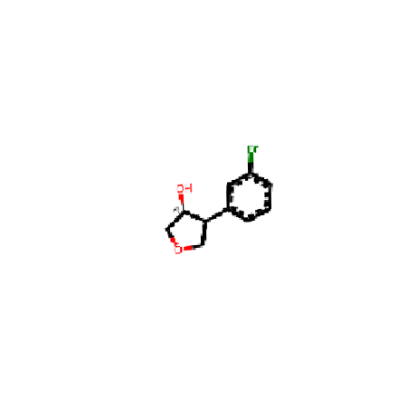 O[C@@H]1COCC1c1cccc(Br)c1